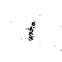 CCCC[C@H]1CN(C2CCC(F)(F)CC2)C(=O)OC12CCN(C1(C)CCN(C(=O)c3c(C)ncnc3C)CC1)CC2